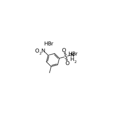 Br.Br.Cc1cc([N+](=O)[O-])cc(S(N)(=O)=O)c1